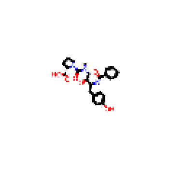 CN(CC(=O)C(Cc1ccc(O)cc1)NC(=O)c1ccccc1)C(=O)N1CCC[C@H]1C(=O)O